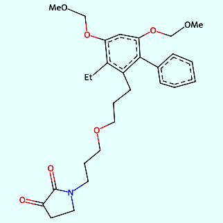 CCc1c(OCOC)cc(OCOC)c(-c2ccccc2)c1CCCOCCCN1CCC(=O)C1=O